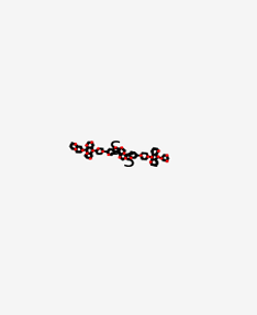 C1=C(c2ccc3c(c2)sc2ccc4c(ccc5sc6cc(C7=CC=C(c8c9ccccc9c(-c9ccc%10ccccc%10c9)c9ccccc89)CC7)ccc6c54)c23)CCC(c2c3ccccc3c(-c3ccccc3)c3ccccc23)=C1